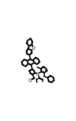 C/C=C(\CC)N(c1cc(-c2c3ccccc3c(-c3ccc4c(c3)oc3ccccc34)c3ccccc23)ccc1C=O)c1c(C)cccc1Cc1ccccc1